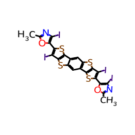 Cc1nc(I)c(-c2sc3c(sc4cc5c(cc43)sc3c(I)c(-c4oc(C)nc4I)sc35)c2I)o1